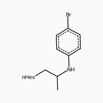 CCCCCCCC(C)Nc1ccc(Br)cc1